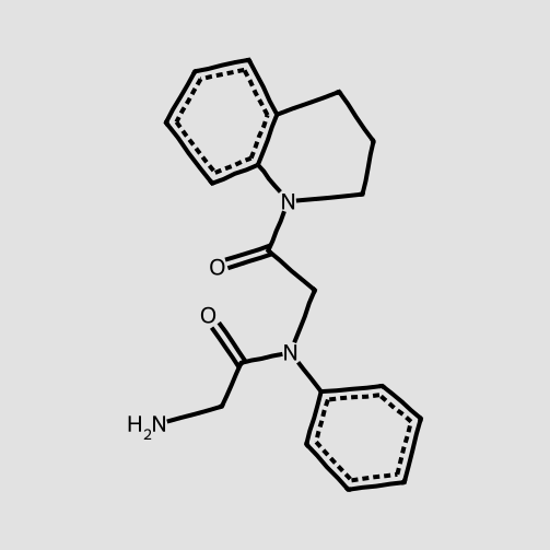 NCC(=O)N(CC(=O)N1CCCc2ccccc21)c1ccccc1